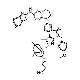 COc1ccc(COC(=O)c2nc(N3CCCc4c3nnc(Nc3nc5ccc(C)cc5s3)c4C)ccc2-c2cnn(CC34CC5(C)CC(C)(C3)CC(OCCO)(C5)C4)c2C)cc1